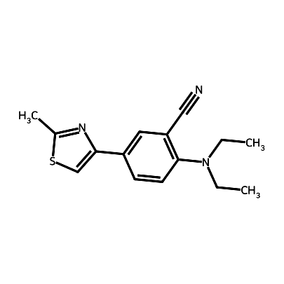 CCN(CC)c1ccc(-c2csc(C)n2)cc1C#N